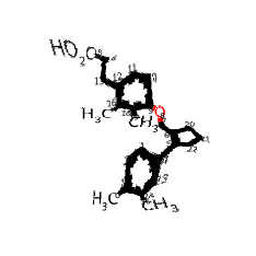 Cc1ccc(C2=C(COc3ccc(CCC(=O)O)c(C)c3C)CCC2)cc1C